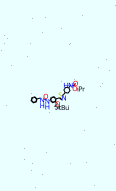 CC(C)OC(=O)NC1CCC(c2ncc(-c3ccc(NC(=O)NCc4ccccc4)cc3O[Si](C)(C)C(C)(C)C)s2)CC1